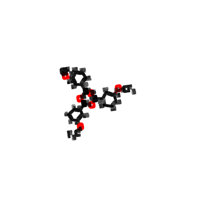 FC(F)(F)Oc1cccc(B2OB(c3cccc(OC(F)(F)F)c3)OB(c3cccc(OC(F)(F)F)c3)O2)c1